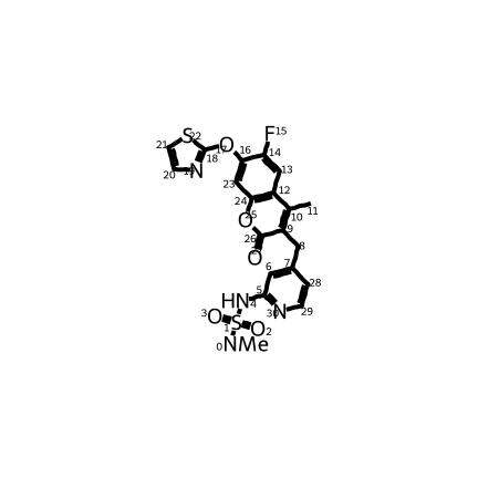 CNS(=O)(=O)Nc1cc(Cc2c(C)c3cc(F)c(Oc4nccs4)cc3oc2=O)ccn1